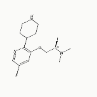 CN(C)[C@H](I)COc1cc(F)cnc1C1CCNCC1